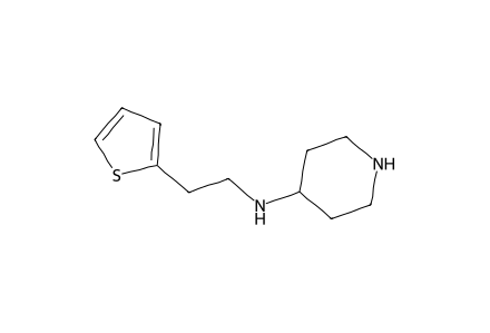 c1csc(CCNC2CCNCC2)c1